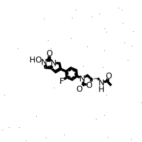 CC(=O)NC[C@H]1CN(c2ccc(C3=Cc4cn(O)c(=O)n4C3)c(F)c2)C(=O)O1